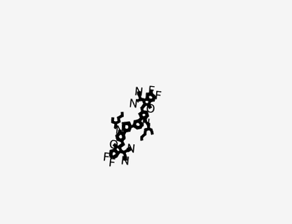 CCCCC(CC)Cn1c2ccc(/C=C3\C(=O)c4cc(F)c(F)cc4C3=C(C#N)C#N)cc2c2cc(-c3ccc4c(c3)c3cc(/C=C5\C(=O)c6cc(F)c(F)cc6C5=C(C#N)C#N)ccc3n4CC(CC)CCCC)ccc21